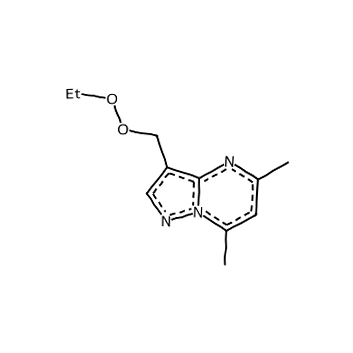 CCOOCc1cnn2c(C)cc(C)nc12